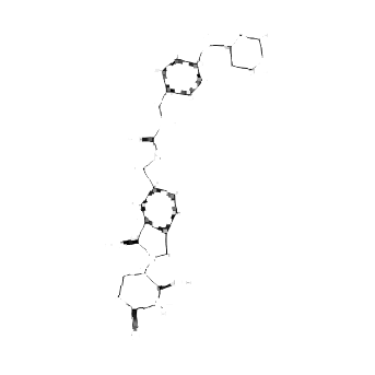 O=C1CCC(N2Cc3ccc(CNC(=O)OCc4ccc(OC5CCOCC5)cc4)cc3C2=O)C(=O)N1